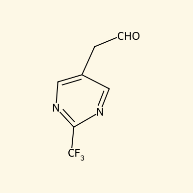 O=CCc1cnc(C(F)(F)F)nc1